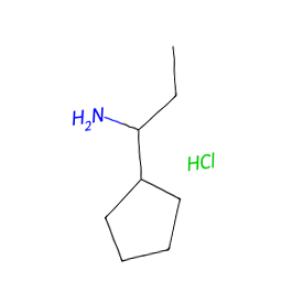 CCC(N)C1CCCC1.Cl